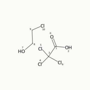 O=C(O)C(Cl)(Cl)Cl.OCCCl